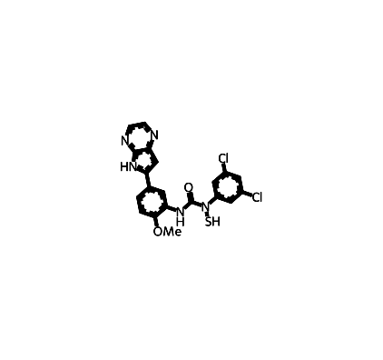 COc1ccc(-c2cc3nccnc3[nH]2)cc1NC(=O)N(S)c1cc(Cl)cc(Cl)c1